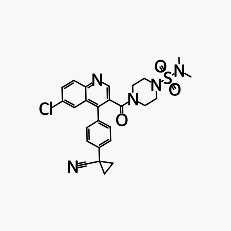 CN(C)S(=O)(=O)N1CCN(C(=O)c2cnc3ccc(Cl)cc3c2-c2ccc(C3(C#N)CC3)cc2)CC1